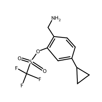 NCc1ccc(C2CC2)cc1OS(=O)(=O)C(F)(F)F